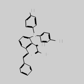 C=C(C(=O)O)c1c(C=Cc2ccccc2)cccc1N(c1ccc(C)cc1)c1ccc(C)cc1